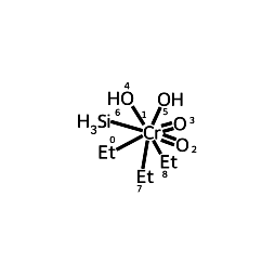 C[CH2][Cr](=[O])(=[O])([OH])([OH])([SiH3])([CH2]C)[CH2]C